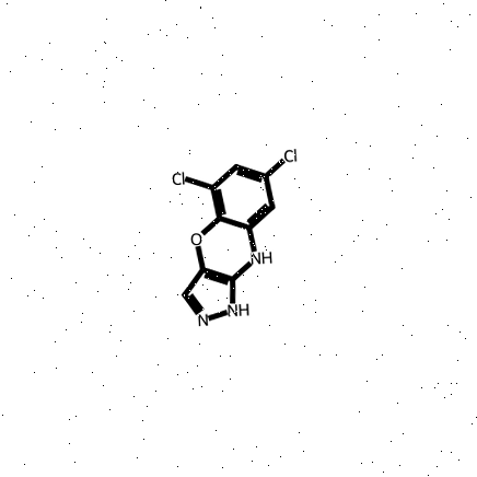 Clc1cc(Cl)c2c(c1)Nc1[nH]ncc1O2